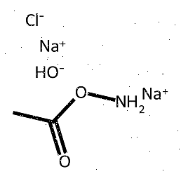 CC(=O)ON.[Cl-].[Na+].[Na+].[OH-]